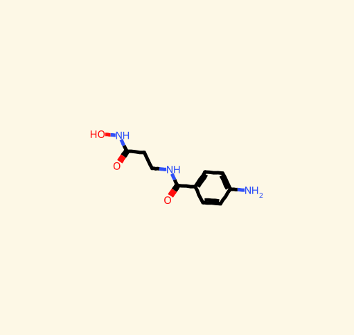 Nc1ccc(C(=O)NCCC(=O)NO)cc1